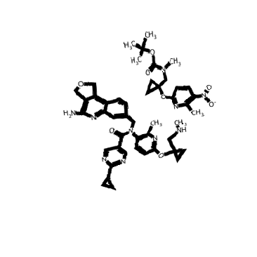 CNCC1(Oc2ccc(N(Cc3ccc4c5c(c(N)nc4c3)COC5)C(=O)c3cnc(C4CC4)nc3)c(C)n2)CC1.Cc1nc(OC2(CN(C)C(=O)OC(C)(C)C)CC2)ccc1[N+](=O)[O-]